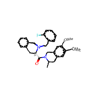 COc1cc2c(cc1OC)CN(C(=O)[C@@H]1Cc3ccccc3CN1Cc1ccccc1F)C(C)C2